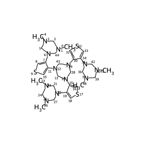 CN1CN(C)CN(c2cscc2N2CN(c3cscc3N3CN(C)CN(C)C3)CN(c3cscc3N3CN(C)CN(C)C3)C2)C1